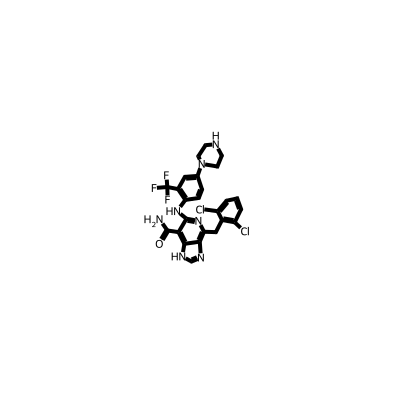 NC(=O)c1c(Nc2ccc(N3CCNCC3)cc2C(F)(F)F)nc(Cc2c(Cl)cccc2Cl)c2nc[nH]c12